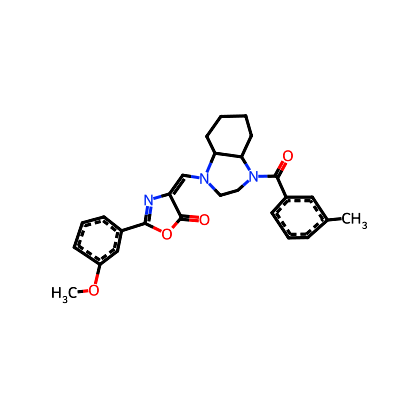 COc1cccc(C2=NC(=CN3CCN(C(=O)c4cccc(C)c4)C4CCCCC43)C(=O)O2)c1